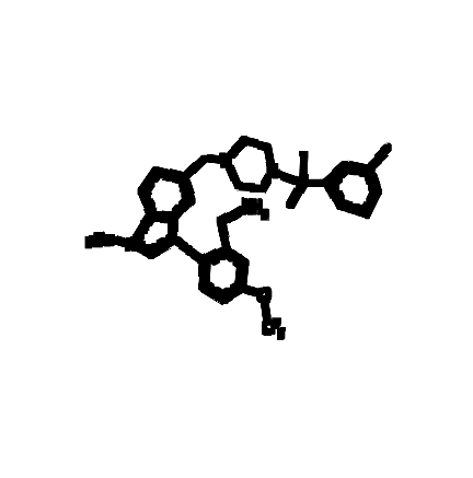 CCCCn1cc(-c2ccc(OC(F)(F)F)cc2CN)c2cc(CN3CCN(C(C)(C)c4cccc(C)c4)CC3)ccc21